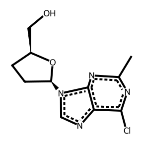 Cc1nc(Cl)c2ncn([C@H]3CC[C@@H](CO)O3)c2n1